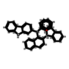 c1ccc(N(c2ccc3c(c2)oc2ccccc23)c2c(-n3c4ccccc4c4ccccc43)ccc3ccccc23)cc1